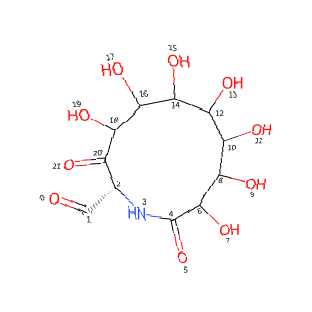 O=[C][C@H]1NC(=O)C(O)C(O)C(O)C(O)C(O)C(O)C(O)C1=O